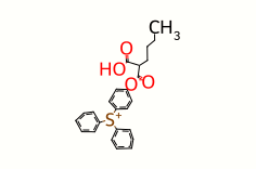 CCCCC(C(=O)[O-])C(=O)O.c1ccc([S+](c2ccccc2)c2ccccc2)cc1